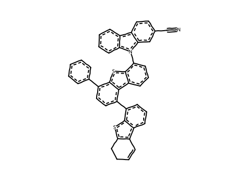 N#Cc1ccc2c3ccccc3n(-c3cccc4c3sc3c(-c5ccccc5)ccc(-c5cccc6c7c(sc56)CCC=C7)c34)c2c1